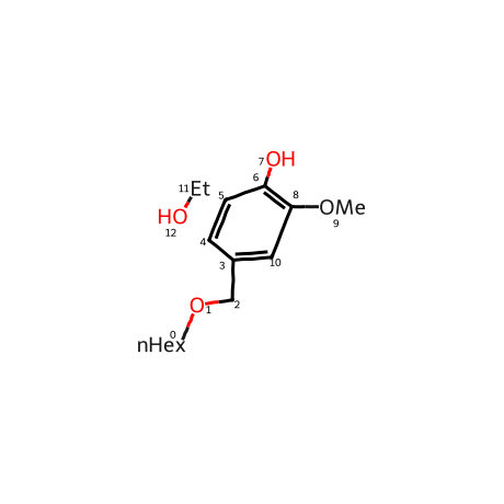 CCCCCCOCc1ccc(O)c(OC)c1.CCO